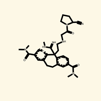 CNC(=N)C1(CCNCC(=O)N2CCCC2C#N)c2ccc(C(=O)N(C)C)cc2CCc2cc(C(=O)N(C)C)ccc21